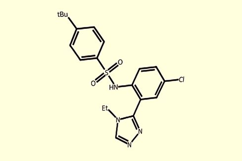 CCn1cnnc1-c1cc(Cl)ccc1NS(=O)(=O)c1ccc(C(C)(C)C)cc1